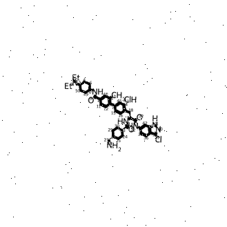 CCN(CC)C1CCC(NC(=O)c2ccc(-c3ccc(C[C@H](NC(=O)[C@H]4CC[C@H](CN)CC4)C(=O)Nc4ccc5c(Cl)n[nH]c5c4)cc3)c(C)c2)CC1.Cl